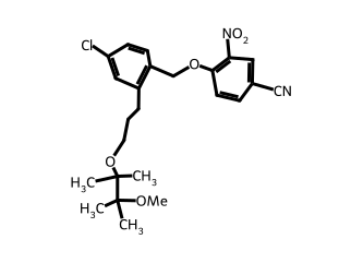 COC(C)(C)C(C)(C)OCCCc1cc(Cl)ccc1COc1ccc(C#N)cc1[N+](=O)[O-]